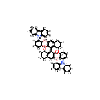 c1cc2c3c(c1)-n1c4ccccc4c4cccc(c41)B3c1cc3c(c(-c4c5c(cc6c4Oc4cccc7c4B6c4cccc6c8ccccc8n-7c46)CCCC5)c1O2)CCCC3